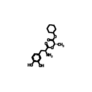 C[C@H](OC(=O)[C@@H](N)Cc1ccc(O)c(O)c1)C(=O)OC1CCCCC1